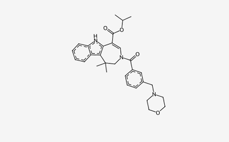 CC(C)OC(=O)C1=CN(C(=O)c2cccc(CN3CCOCC3)c2)CC(C)(C)c2c1[nH]c1ccccc21